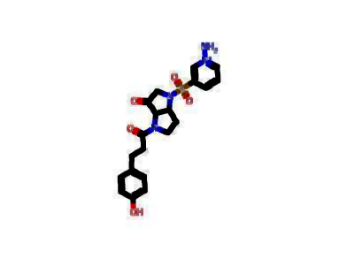 N[n+]1cccc(S(=O)(=O)N2CC(=O)C3C2CCN3C(=O)[CH]Cc2ccc(O)cc2)c1